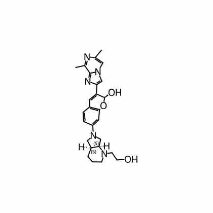 Cc1cn2cc(C3=Cc4ccc(N5C[C@@H]6CCCN(CCO)[C@@H]6C5)cc4OC3O)nc2c(C)n1